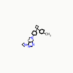 Cc1ccc(C2(c3ccc(N4CCc5c(ncnc5N5CCC5)C4)cc3)CCC2)cc1